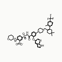 Cc1cc(C(F)(F)F)ccc1C1=C(CN2CCN(c3ccc(C(=O)NS(=O)(=O)c4ccc(N[C@H]5CCCOC5)c([N+](=O)[O-])c4)c(Oc4cnc5[nH]ccc5c4)c3)CC2)CCC(C)(C)C1